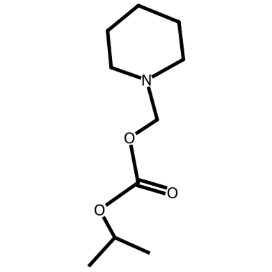 CC(C)OC(=O)OCN1CCCCC1